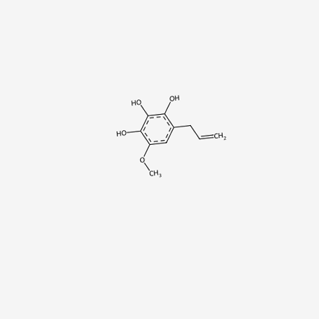 C=CCc1cc(OC)c(O)c(O)c1O